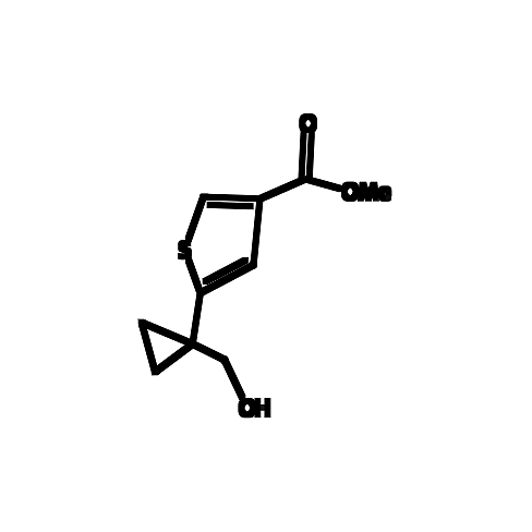 COC(=O)c1csc(C2(CO)CC2)c1